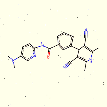 CC1=C(C#N)C(c2cccc(C(=O)Nc3ccc(N(C)C)cn3)c2)C(C#N)=C(C)N1